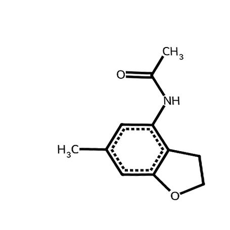 CC(=O)Nc1cc(C)cc2c1CCO2